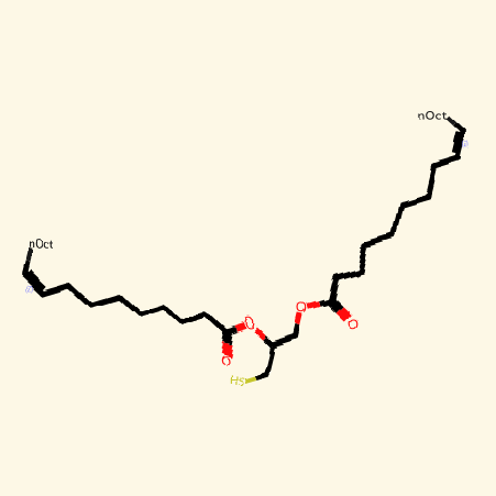 CCCCCCCC/C=C\CCCCCCCC(=O)OCC(CS)OC(=O)CCCCCCC/C=C\CCCCCCCC